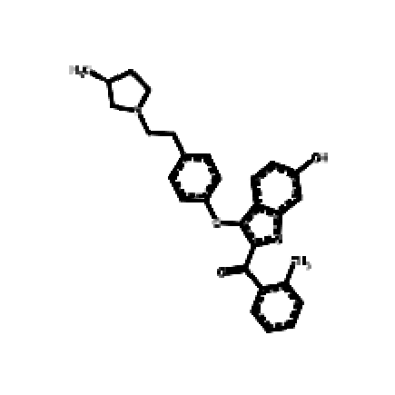 Cc1ccccc1C(=O)c1sc2cc(O)ccc2c1Oc1ccc(CCN2CC[C@H](C)C2)cc1